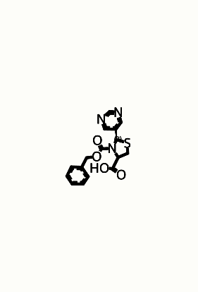 O=C(O)C1CS[C@H](c2cncnc2)N1C(=O)OCc1ccccc1